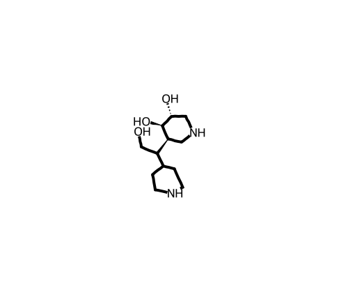 OCC(C1CCNCC1)[C@@H]1CNC[C@@H](O)[C@@H]1O